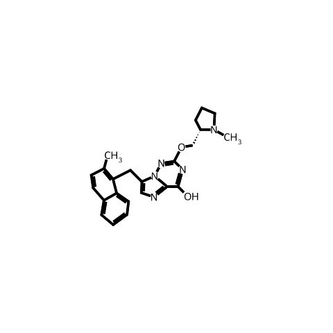 Cc1ccc2ccccc2c1Cc1cnc2c(O)nc(OC[C@@H]3CCCN3C)nn12